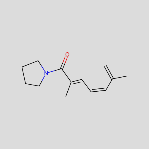 C=C(C)/C=C\C=C(/C)C(=O)N1CCCC1